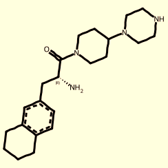 N[C@H](Cc1ccc2c(c1)CCCC2)C(=O)N1CCC(N2CCNCC2)CC1